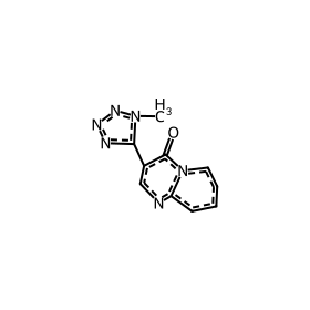 Cn1nnnc1-c1cnc2ccccn2c1=O